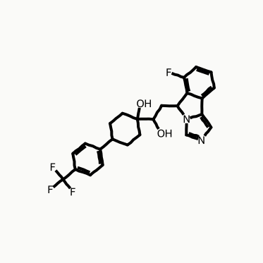 OC(CC1c2c(F)cccc2-c2cncn21)C1(O)CCC(c2ccc(C(F)(F)F)cc2)CC1